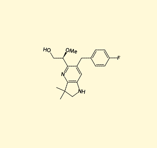 CO[C@H](CO)c1nc2c(cc1Cc1ccc(F)cc1)NCC2(C)C